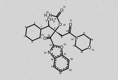 CC(C1CCCCC1)[C@](CC(=O)N1CCOCC1)(OC(N)=O)C(=O)c1nc2ccccc2o1